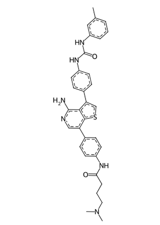 Cc1cccc(NC(=O)Nc2ccc(-c3csc4c(-c5ccc(NC(=O)CCCN(C)C)cc5)cnc(N)c34)cc2)c1